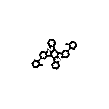 Cc1ccccc1-c1ccc2c(c1)c1c3c4ccccc4n4c5ccc(-c6ccccc6C)cc5c(c5c6ccccc6n2c51)c34